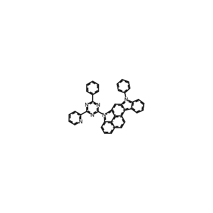 c1ccc(-c2nc(-c3ccccn3)nc(-n3c4cccc5ccc6c7c8ccccc8n(-c8ccccc8)c7cc3c6c54)n2)cc1